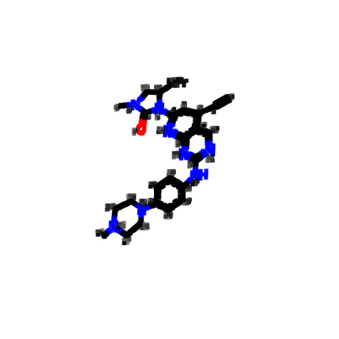 C#Cc1cc(N2C(=O)N(C)CC2C(C)C)nc2nc(Nc3ccc(N4CCN(C)CC4)cc3)ncc12